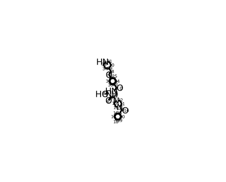 O=C(NC[C@H](C(=O)NO)N1CCN(C(=O)c2ccccc2)CC1)c1ccc(OCC2CCNCC2)cc1